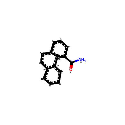 NC(=O)c1cccc2ccc3ccccc3c12